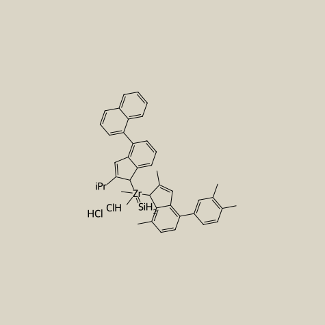 CC1=Cc2c(-c3ccc(C)c(C)c3)ccc(C)c2[CH]1[Zr]([CH3])([CH3])(=[SiH2])[CH]1C(C(C)C)=Cc2c(-c3cccc4ccccc34)cccc21.Cl.Cl